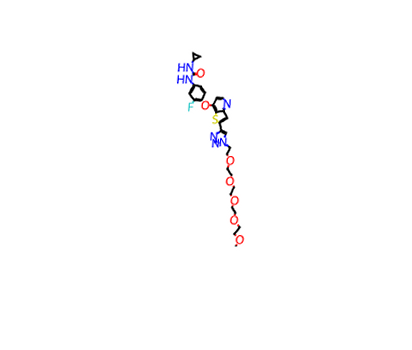 COCCOCCOCCOCCOCCn1cc(-c2cc3nccc(Oc4ccc(NC(=O)NC5CC5)cc4F)c3s2)nn1